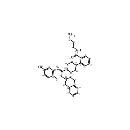 CSCCNC(=O)c1ccccc1N1CCN(C(=O)[C@@H](Cc2ccc(Cl)cc2)N2[CH]Cc3ccccc3C2)CC1